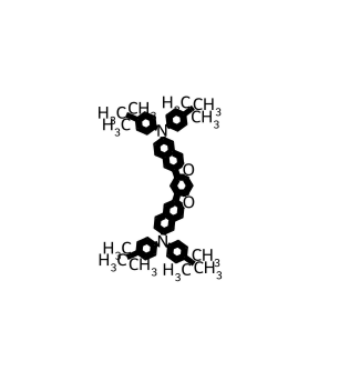 CC(C)(C)c1ccc(N(c2ccc(C(C)(C)C)cc2)c2ccc3cc4c(cc3c2)oc2cc3oc5cc6cc(N(c7ccc(C(C)(C)C)cc7)c7ccc(C(C)(C)C)cc7)ccc6cc5c3cc24)cc1